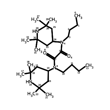 CCCCN(C(=O)C(=O)N(CCCC)C1CC(C)(C)NC(C)(C)C1)C1CC(C)(C)NC(C)(C)C1